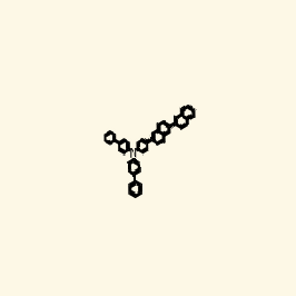 c1ccc(-c2ccc(N(c3ccc(-c4ccccc4)cc3)c3ccc(-c4ccc5cc(-c6ccc7ccccc7c6)ccc5c4)cc3)cc2)cc1